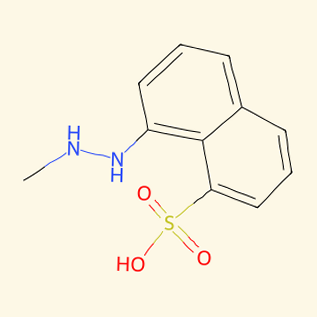 CNNc1cccc2cccc(S(=O)(=O)O)c12